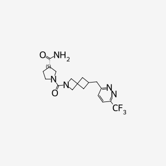 NC(=O)[C@H]1CCN(C(=O)N2CC3(CC(Cc4ccc(C(F)(F)F)nn4)C3)C2)C1